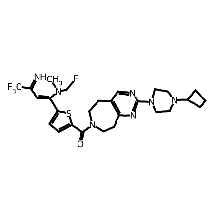 CN(CF)/C(=C\C(=N)C(F)(F)F)c1ccc(C(=O)N2CCc3cnc(N4CCN(C5CCC5)CC4)nc3CC2)s1